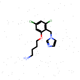 NCCCCOc1cc(Cl)cc(Cl)c1Cn1ccnc1